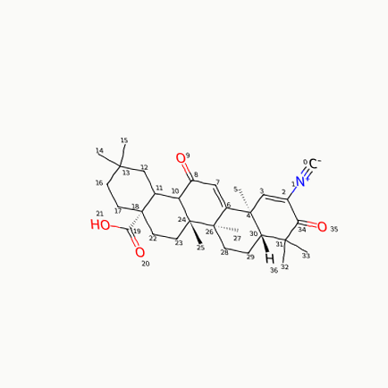 [C-]#[N+]C1=C[C@]2(C)C3=CC(=O)C4C5CC(C)(C)CC[C@]5(C(=O)O)CC[C@@]4(C)[C@]3(C)CC[C@H]2C(C)(C)C1=O